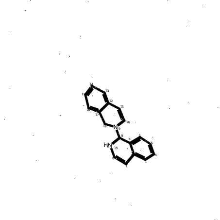 C1=Cc2ccccc2C(N2C=Cc3ccccc3C2)N1